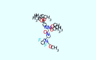 COCCCn1c(C2CCCN(C(=O)C[C@@H](Cc3ccc(B4OC(C)(C)C(C)(C)O4)cc3)NC(=O)OC(C)(C)C)C2)cc2c(F)ccc(F)c21